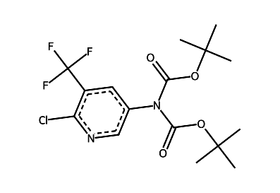 CC(C)(C)OC(=O)N(C(=O)OC(C)(C)C)c1cnc(Cl)c(C(F)(F)F)c1